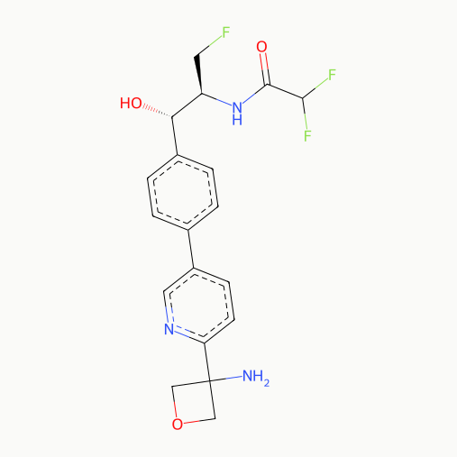 NC1(c2ccc(-c3ccc([C@H](O)[C@@H](CF)NC(=O)C(F)F)cc3)cn2)COC1